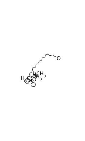 CCC(CC/C=C\CCCCCCC/C=C\CCCC=O)O[Si](c1ccccc1)(c1ccccc1)C(C)(C)C